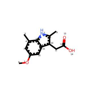 COc1cc(C)c2[nH]c(C)c(CC(=O)O)c2c1